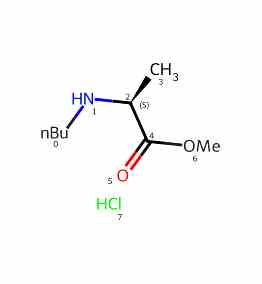 CCCCN[C@@H](C)C(=O)OC.Cl